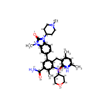 CCN1CCC(n2c(=O)n(C)c3cc(-c4cc(C(N)=O)c(C)c(N(CC)C5CCOCC5)c4Cc4c(C)cc(C)[nH]c4=O)ccc32)CC1